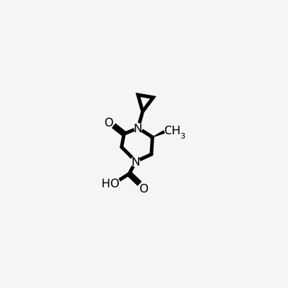 C[C@H]1CN(C(=O)O)CC(=O)N1C1CC1